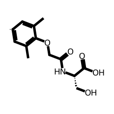 Cc1c[c]cc(C)c1OCC(=O)N[C@@H](CO)C(=O)O